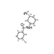 Cc1cccc(C(=O)Nc2cccc(C(C)C)c2)c1